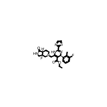 CCOC(=O)C1=C(CN2CC[C@@H]3C(=O)NC[C@]3(F)C2)NC(c2nccs2)=N[C@H]1c1cccc(F)c1C